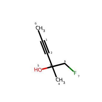 CC#CC(C)(O)CF